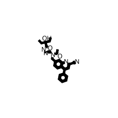 CCC(O)(CC)c1nnc(N(Cc2ccc3c(-c4ccccc4)cc(C#N)nc3c2)C(C)=O)o1